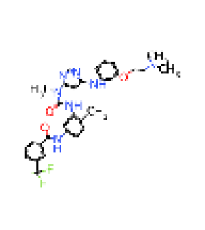 Cc1ccc(NC(=O)c2cccc(C(F)(F)F)c2)cc1NC(=O)N(C)c1cc(Nc2cccc(OCCN(C)C)c2)ncn1